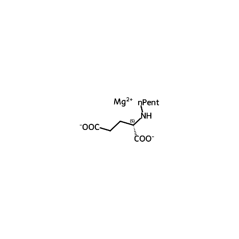 CCCCCN[C@@H](CCC(=O)[O-])C(=O)[O-].[Mg+2]